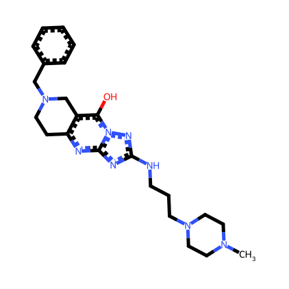 CN1CCN(CCCNc2nc3nc4c(c(O)n3n2)CN(Cc2ccccc2)CC4)CC1